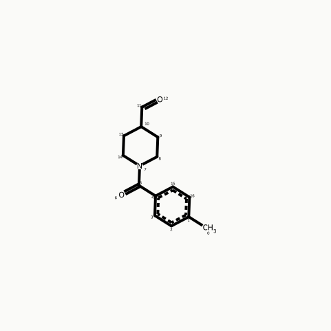 Cc1ccc(C(=O)N2CCC(C=O)CC2)cc1